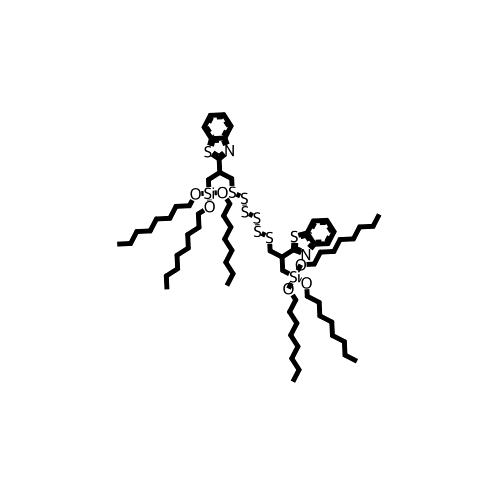 CCCCCCCCO[Si](CC(CSSSSSSCC(C[Si](OCCCCCCCC)(OCCCCCCCC)OCCCCCCCC)c1nc2ccccc2s1)c1nc2ccccc2s1)(OCCCCCCCC)OCCCCCCCC